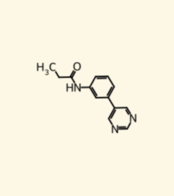 CCC(=O)Nc1cccc(-c2cncnc2)c1